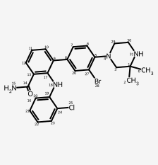 CC1(C)CN(c2ccc(-c3cccc(C(N)=O)c3Nc3ccccc3Cl)cc2Br)CCN1